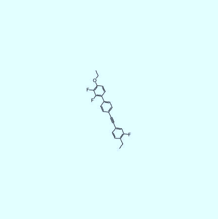 CCOc1ccc(-c2ccc(C#Cc3ccc(CC)c(F)c3)cc2)c(F)c1F